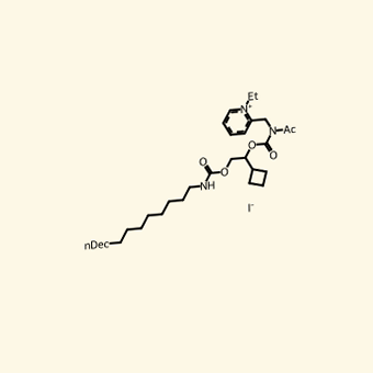 CCCCCCCCCCCCCCCCCCNC(=O)OCC(OC(=O)N(Cc1cccc[n+]1CC)C(C)=O)C1CCC1.[I-]